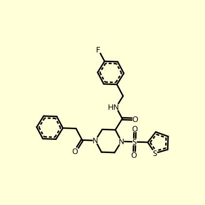 O=C(NCc1ccc(F)cc1)C1CN(C(=O)Cc2ccccc2)CCN1S(=O)(=O)c1cccs1